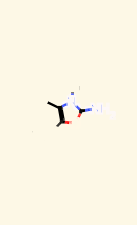 CCN1C(C)=C(C(=O)O)OC1N